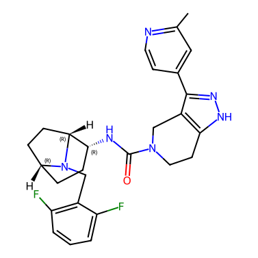 Cc1cc(-c2n[nH]c3c2CN(C(=O)N[C@@H]2CC[C@@H]4CC[C@H]2N4Cc2c(F)cccc2F)CC3)ccn1